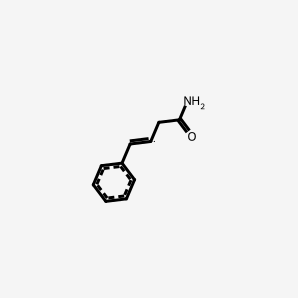 NC(=O)C/[C]=C/c1ccccc1